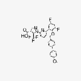 COc1ccc(-c2ccc(COc3c(F)cc(F)cc3-c3cccc(-n4ncc(C(=O)O)c4C(F)(F)F)n3)cc2)cc1